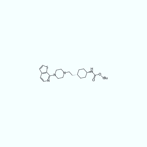 CC(C)(C)OC(=O)N[C@H]1CC[C@H](CCN2CCN(c3nccc4ccsc34)CC2)CC1